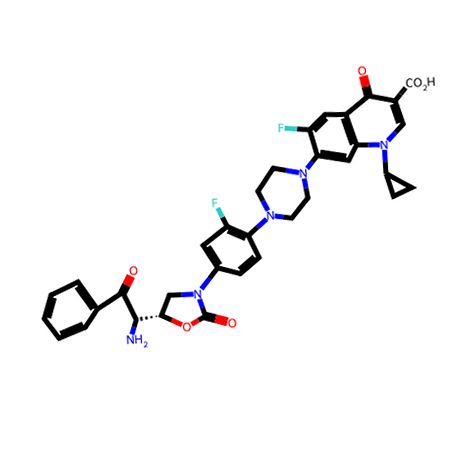 NC(C(=O)c1ccccc1)[C@@H]1CN(c2ccc(N3CCN(c4cc5c(cc4F)c(=O)c(C(=O)O)cn5C4CC4)CC3)c(F)c2)C(=O)O1